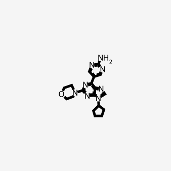 Nc1ncc(-c2nc(N3CCOCC3)nc3c2ncn3C2CCCC2)cn1